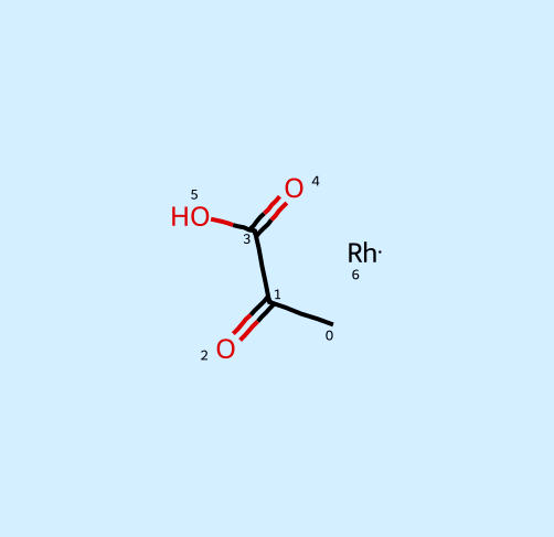 CC(=O)C(=O)O.[Rh]